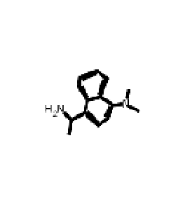 CC(N)c1ccc(N(C)C)c2ccccc12